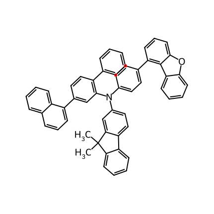 CC1(C)c2ccccc2-c2ccc(N(c3ccc(-c4cccc5oc6ccccc6c45)cc3)c3cc(-c4cccc5ccccc45)ccc3-c3ccccc3)cc21